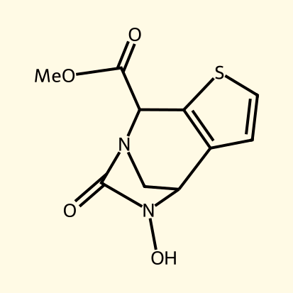 COC(=O)C1c2sccc2C2CN1C(=O)N2O